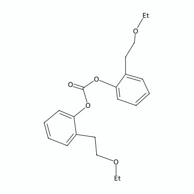 CCOCCc1ccccc1OC(=O)Oc1ccccc1CCOCC